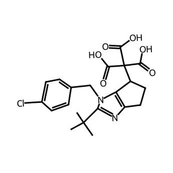 CC(C)(C)c1nc2c(n1Cc1ccc(Cl)cc1)C(C(C(=O)O)(C(=O)O)C(=O)O)CC2